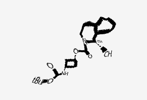 C#C[C@H]1c2ccccc2CCN1C(=O)O[C@H]1C[C@@H](NC(=O)OC(C)(C)C)C1